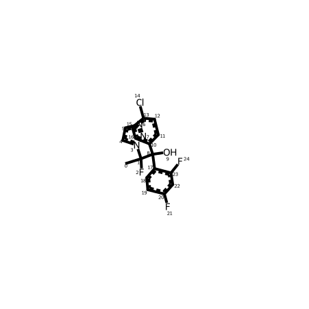 CC(F)(n1ccnn1)C(O)(c1ccc(Cl)cc1)c1ccc(F)cc1F